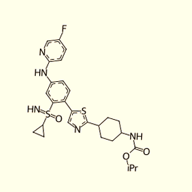 CC(C)OC(=O)NC1CCC(c2ncc(-c3ccc(Nc4ccc(F)cn4)cc3S(=N)(=O)C3CC3)s2)CC1